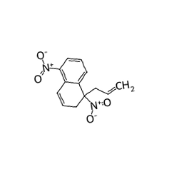 C=CCC1([N+](=O)[O-])CC=Cc2c([N+](=O)[O-])cccc21